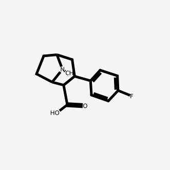 CN1C2CCC1C(C(=O)O)C(c1ccc(F)cc1)C2